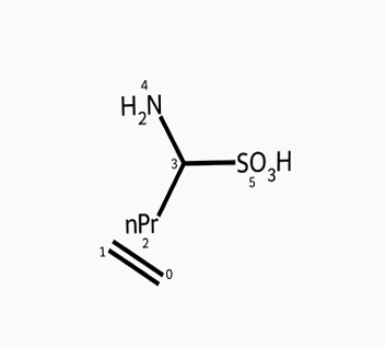 C=C.CCCC(N)S(=O)(=O)O